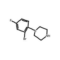 Fc1ccc(N2CCNCC2)c(Br)c1